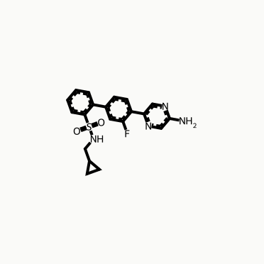 Nc1cnc(-c2ccc(-c3ccccc3S(=O)(=O)NCC3CC3)cc2F)cn1